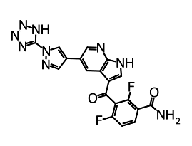 NC(=O)c1ccc(F)c(C(=O)c2c[nH]c3ncc(-c4cnn(-c5nnn[nH]5)c4)cc23)c1F